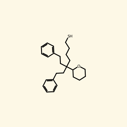 SCCCCC(CCc1ccccc1)(CCc1ccccc1)C1CCCCO1